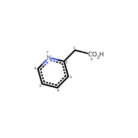 O=C(O)Cc1c[c]ccn1